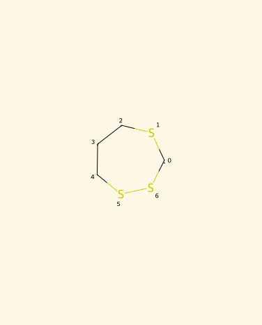 [CH]1SCCCSS1